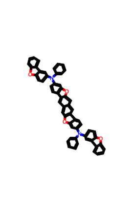 c1ccc(N(c2ccc3c(c2)oc2cc4cc5c(cc4cc23)oc2cc(N(c3ccccc3)c3ccc4oc6ccccc6c4c3)ccc25)c2ccc3oc4ccccc4c3c2)cc1